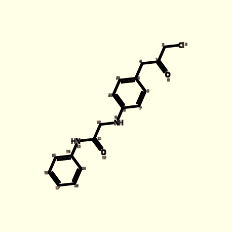 O=C(CCl)Cc1ccc(NCC(=O)Nc2ccccc2)cc1